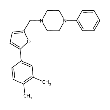 Cc1ccc(-c2ccc(CN3CCN(c4ccccc4)CC3)o2)cc1C